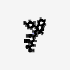 CC1(C)Oc2ccccc2C(c2ccc(F)cc2)=C1/C=C/[C@@H](O)C[C@@H](O)CC(=O)O